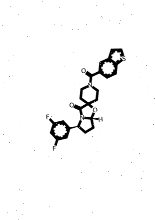 O=C(c1ccc2sccc2c1)N1CCC2(CC1)O[C@@H]1CC[C@@H](c3cc(F)cc(F)c3)N1C2=O